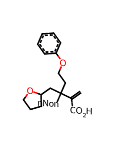 C=C(C(=O)O)C(CCCCCCCCC)(CCOc1ccccc1)CC1CCCO1